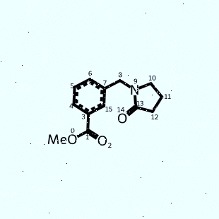 COC(=O)c1cccc(CN2CCCC2=O)c1